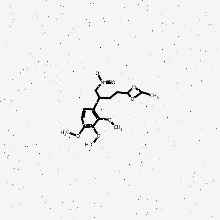 COc1ccc(C(CCC2OC(C)O2)C[N+](=O)[O-])c(OC)c1OC